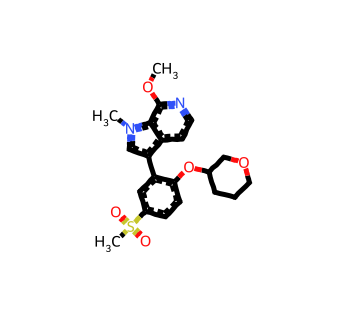 COc1nccc2c(-c3cc(S(C)(=O)=O)ccc3OC3CCCOC3)cn(C)c12